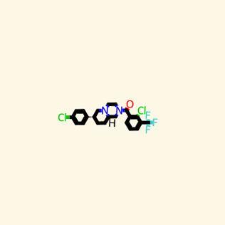 O=C(c1cccc(C(F)(F)F)c1Cl)N1CCN2C[C@@H](c3ccc(Cl)cc3)CC[C@@H]2C1